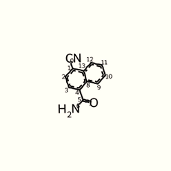 N#Cc1ccc(C(N)=O)c2ccccc12